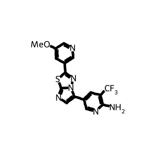 COc1cncc(-c2nn3c(-c4cnc(N)c(C(F)(F)F)c4)cnc3s2)c1